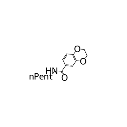 CCCCCNC(=O)c1ccc2c(c1)OCCO2